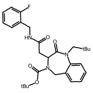 CC(C)(C)CN1C(=O)C(CC(=O)NCc2ccccc2F)N(C(=O)OC(C)(C)C)Cc2ccccc21